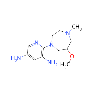 COC1CN(C)CCN(c2ncc(N)cc2N)C1